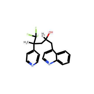 CC(O)(Cc1ccnc2ccccc12)CC(C)(c1ccncc1)C(F)(F)F